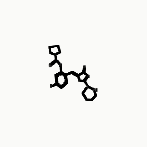 O=C(Oc1cc(F)ccc1/C=C1\SC(N2CCCCN2)=NC1=S)N1CCCC1